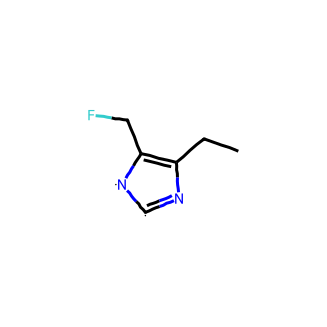 CCC1=C(CF)[N][C]=N1